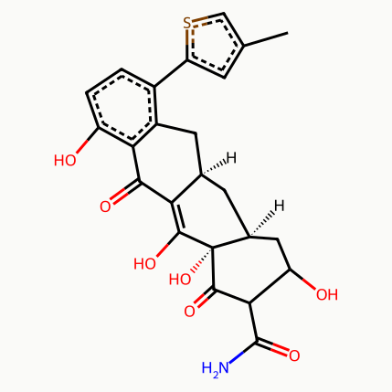 Cc1csc(-c2ccc(O)c3c2C[C@H]2C[C@H]4CC(O)C(C(N)=O)C(=O)[C@@]4(O)C(O)=C2C3=O)c1